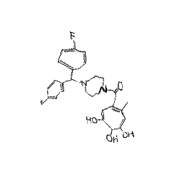 CC1=C(C(=O)N2CCN(C(c3ccc(F)cc3)c3ccc(F)cc3)CC2)C=C(O)C(O)C(O)=C1